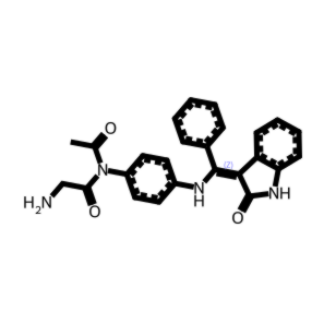 CC(=O)N(C(=O)CN)c1ccc(N/C(=C2\C(=O)Nc3ccccc32)c2ccccc2)cc1